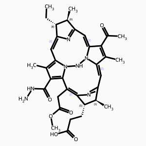 CC[C@H]1/C2=C/c3c(C)c(C(=O)NN)c4n3Nn3/c(c(C)c(C(C)=O)/c3=C/C(=N2)[C@@H]1C)=C\C1=NC(=C\4CC(=O)OC)/[C@@H](CCC(=O)O)[C@@H]1C